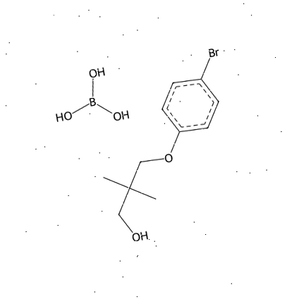 CC(C)(CO)COc1ccc(Br)cc1.OB(O)O